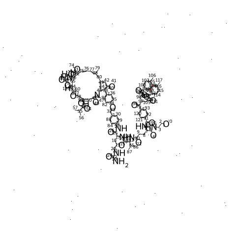 COCCNC(=O)[C@@H](CCC(=O)N[C@@H](C(=O)N[C@H](CCCNC(N)=O)C(=O)Nc1ccc(COc2ccc(-c3c(OC)cc4cc3N(C)C(=O)C[C@H](OC(=O)C(C)C)[C@]3(C)CC(C)(O3)[C@@H]3CC(O)(NC(=O)O3)[C@H](OC)/C=C\C=C(\C)C4)cc2)cc1)C(C)C)NC(=O)c1ccc(C(=O)C(CS(=O)(=O)c2ccc(C)cc2)CS(=O)(=O)c2ccc(C)cc2)cc1